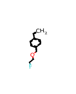 C=Cc1ccc(COCCF)cc1